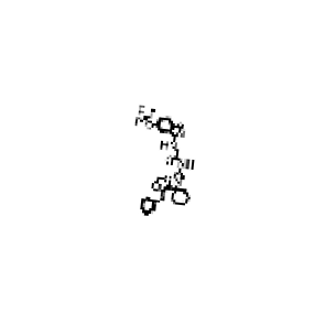 O=C(CNc1noc2ccc(OC(F)(F)F)cc12)NC1CN(C2(C3=C(Cc4ccccc4)OCO3)CCCCC2)C1